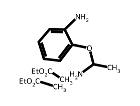 CC(N)Oc1ccccc1N.CCOC(C)=O.CCOC(C)=O